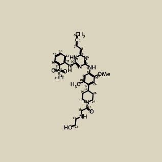 C=C=C/C=C1/N=C(Nc2cc(C)c(C3CCN(C(=O)CNCCO)CC3)cc2OC)N=C(Nc2ccccc2S(=O)(=O)C(C)C)N1